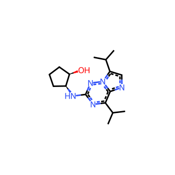 CC(C)c1nc(N[C@H]2CCC[C@H]2O)nn2c(C(C)C)cnc12